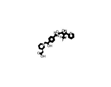 O=C(O)C[C@H]1CCCN(CC(O)c2ccc(-c3noc(-c4onc(-c5ccccn5)c4C(F)(F)F)n3)cc2)C1